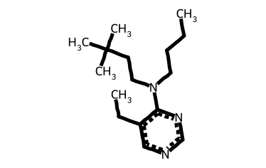 CCCCN(CCC(C)(C)C)c1ncncc1CC